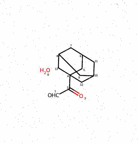 O.O=CC(=O)C12CC3CC(CC(C3)C1)C2